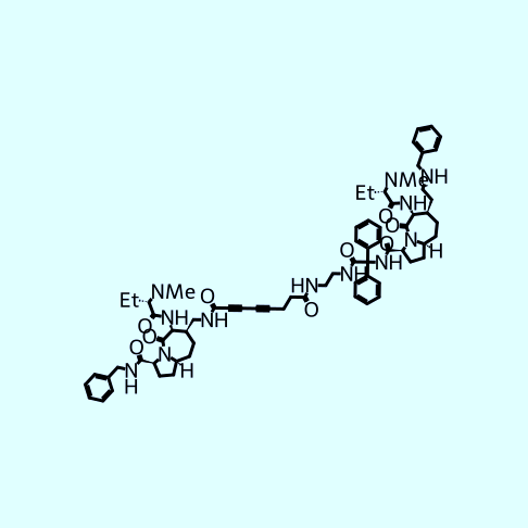 CC[C@H](NC)C(=O)N[C@@H]1C(=O)N2[C@@H](CC[C@@H]1CNC(=O)C#CC#CCCC(=O)NCCNC(=O)C(NC(=O)[C@@H]1CC[C@@H]3CC[C@H](CCNCc4ccccc4)[C@H](NC(=O)[C@H](CC)NC)C(=O)N31)(c1ccccc1)c1ccccc1)CC[C@H]2C(=O)NCc1ccccc1